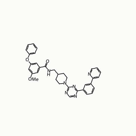 COc1cc(Oc2ccccc2)cc(C(=O)NCC2CCN(c3ncnc(-c4cccc(-c5ccccn5)c4)n3)CC2)c1